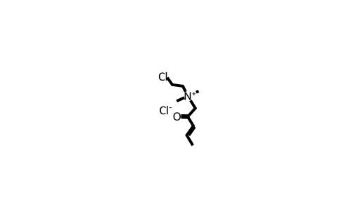 CC=CC(=O)C[N+](C)(C)CCCl.[Cl-]